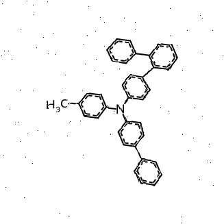 Cc1ccc(N(c2ccc(-c3ccccc3)cc2)c2ccc(-c3ccccc3-c3ccccc3)cc2)cc1